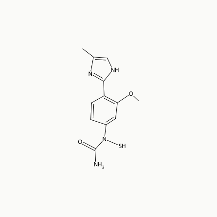 COc1cc(N(S)C(N)=O)ccc1-c1nc(C)c[nH]1